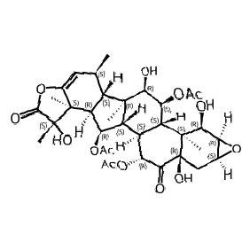 CC(=O)O[C@@H]1[C@H]2[C@H]3[C@H]([C@H](OC(C)=O)[C@H](O)[C@]2(C)[C@@H]2[C@@H]1[C@]1(C)C(=C[C@H]2C)OC(=O)[C@@]1(C)O)[C@@]1(C)[C@@H](O)[C@H]2O[C@H]2C[C@]1(O)C(=O)[C@@H]3OC(C)=O